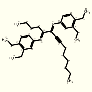 CCCCCCC#CC(=Nc1ccc(CC)c(CC)c1)C(CCCC)=Nc1ccc(CC)c(CC)c1